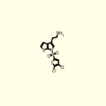 NCCc1cn(S(=O)(=O)c2cc(Cl)c(Cl)s2)c2sccc12